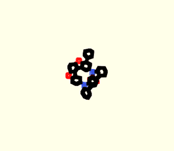 c1ccc(-c2cc(-n3c4ccccc4c4ccccc43)cc3c2oc2ccc4oc5ccc(-n6c7ccccc7c7ccccc76)cc5c4c23)cc1